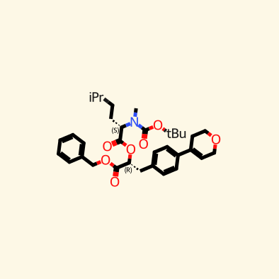 CC(C)CC[C@@H](C(=O)O[C@H](Cc1ccc(C2=CCOCC2)cc1)C(=O)OCc1ccccc1)N(C)C(=O)OC(C)(C)C